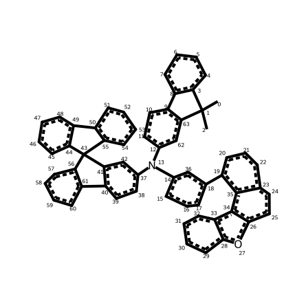 CC1(C)c2ccccc2-c2ccc(N(c3cccc(-c4cccc5ccc6oc7ccccc7c6c45)c3)c3ccc4c(c3)C3(c5ccccc5-c5ccccc53)c3ccccc3-4)cc21